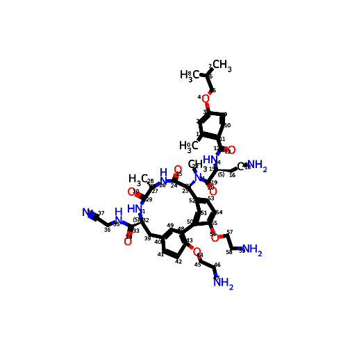 Cc1cc(OCC(C)C)ccc1C(=O)N[C@@H](CCN)C(=O)N(C)[C@@H]1C(=O)N[C@@H](C)C(=O)N[C@H](C(=O)NCC#N)Cc2ccc(OCCN)c(c2)-c2cc1ccc2OCCN